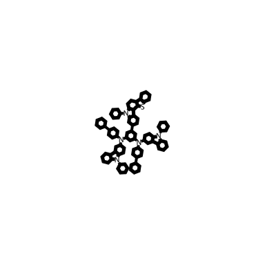 c1ccc(-c2ccc(N(c3cc(-c4ccc5c6c7sc8ccccc8c7ccc6n(-c6ccccc6)c5c4)cc(N(c4ccc(-c5ccccc5)cc4)c4ccc5c(c4)c4ccccc4n5-c4ccccc4)c3)c3ccc4c(c3)c3ccccc3n4-c3ccccc3)cc2)cc1